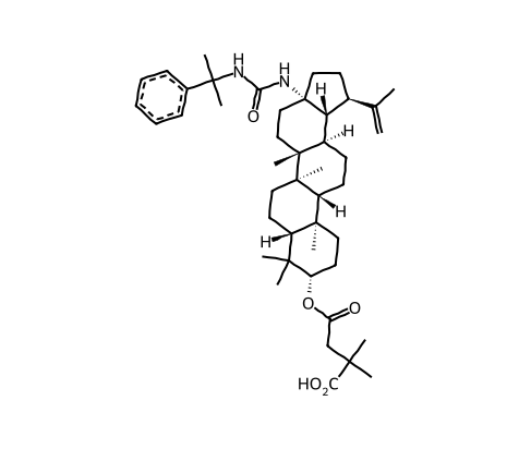 C=C(C)[C@@H]1CC[C@]2(NC(=O)NC(C)(C)c3ccccc3)CC[C@]3(C)[C@H](CC[C@@H]4[C@@]5(C)CC[C@H](OC(=O)CC(C)(C)C(=O)O)C(C)(C)[C@@H]5CC[C@]43C)[C@@H]12